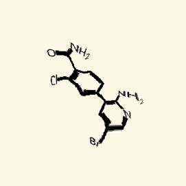 NC(=O)c1ccc(-c2cc(Br)cnc2N)cc1Cl